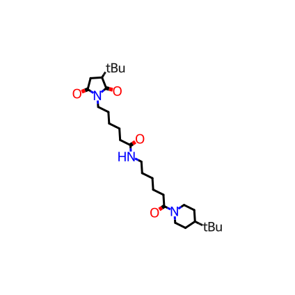 CC(C)(C)C1CCN(C(=O)CCCCCNC(=O)CCCCCN2C(=O)CC(C(C)(C)C)C2=O)CC1